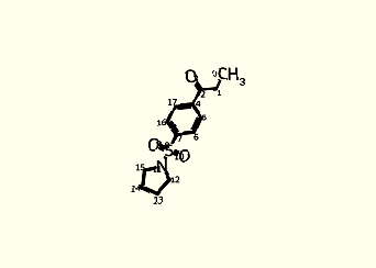 CCC(=O)c1ccc(S(=O)(=O)N2CCCC2)cc1